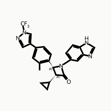 Cc1cc(-c2cnn(C(F)(F)F)c2)ccc1[C@H]1[C@@H](C2CC2)C(=O)N1c1ccc2[nH]cnc2c1